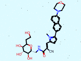 Cn1c(/C=C(\C#N)C(=O)NC[C@H]2OC(CCO)[C@H](O)[C@@H](O)[C@@H]2O)ccc1-c1ccc2cc(N3CCOCC3)ccc2c1